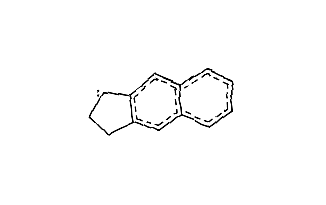 [C]1CCc2cc3ccccc3cc21